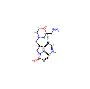 NC[C@H]1CN(CC2Cn3c(=O)ccc4ncc(F)c2c43)CCO1